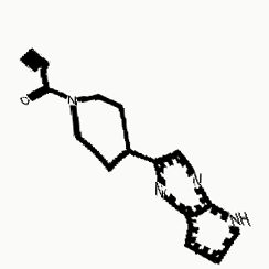 C=CC(=O)N1CCC(c2cnc3[nH]ccc3n2)CC1